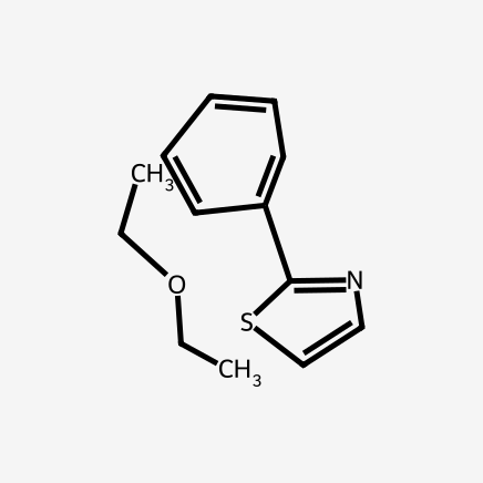 CCOCC.c1ccc(-c2nccs2)cc1